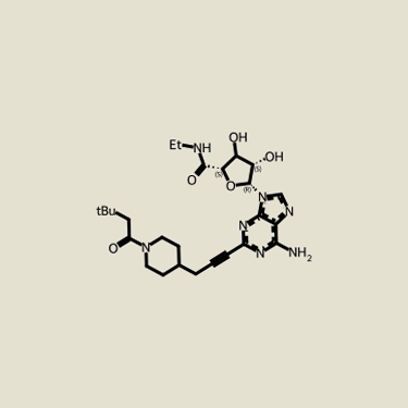 CCNC(=O)[C@H]1O[C@@H](n2cnc3c(N)nc(C#CCC4CCN(C(=O)CC(C)(C)C)CC4)nc32)[C@@H](O)C1O